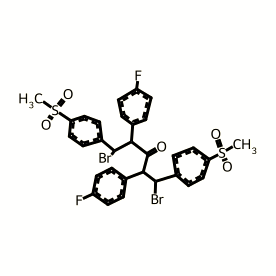 CS(=O)(=O)c1ccc(C(Br)C(C(=O)C(c2ccc(F)cc2)C(Br)c2ccc(S(C)(=O)=O)cc2)c2ccc(F)cc2)cc1